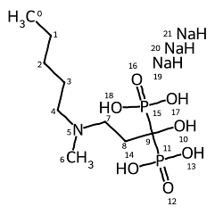 CCCCCN(C)CCC(O)(P(=O)(O)O)P(=O)(O)O.[NaH].[NaH].[NaH]